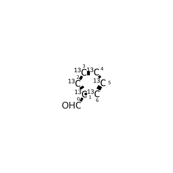 O=C[13c]1[13cH][13cH][13cH][13cH][13cH]1